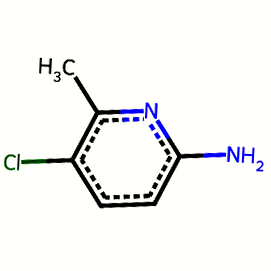 Cc1nc(N)ccc1Cl